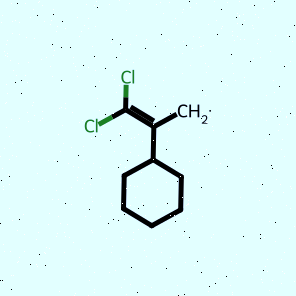 [CH2]C(=C(Cl)Cl)C1CCCCC1